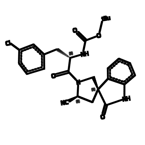 CC(C)(C)OC(=O)N[C@@H](Cc1cccc(Cl)c1)C(=O)N1C[C@]2(C[C@H]1C#N)C(=O)Nc1ccccc12